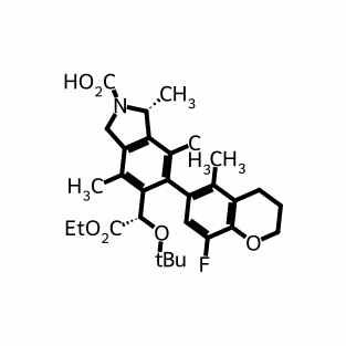 CCOC(=O)[C@@H](OC(C)(C)C)c1c(C)c2c(c(C)c1-c1cc(F)c3c(c1C)CCCO3)[C@@H](C)N(C(=O)O)C2